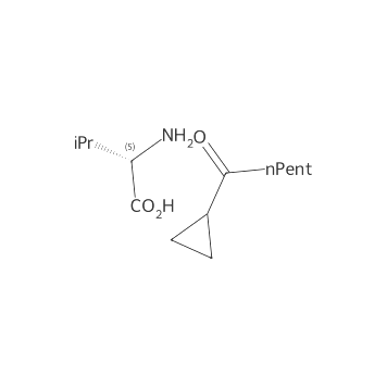 CC(C)[C@H](N)C(=O)O.CCCCCC(=O)C1CC1